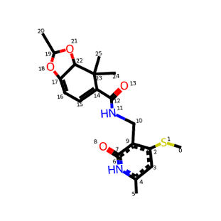 CSc1cc(C)[nH]c(=O)c1CNC(=O)C1=CC=C2OC(C)OC2C1(C)C